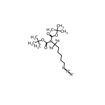 [2H]C([2H])(CCCCCN=[N+]=[N-])N(C(=O)OC(C)(C)C)C(=O)OC(C)(C)C